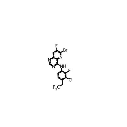 Fc1cc2ncnc(Nc3ccc(CC(F)(F)F)c(Cl)c3F)c2nc1Br